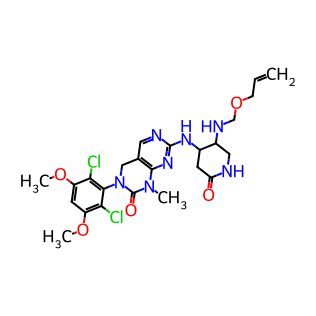 C=CCOCNC1CNC(=O)CC1Nc1ncc2c(n1)N(C)C(=O)N(c1c(Cl)c(OC)cc(OC)c1Cl)C2